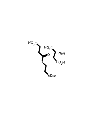 CCCCCCCCCCCCOC(=O)CCC(=O)O.O=C(O)CCC(=O)O.[NaH]